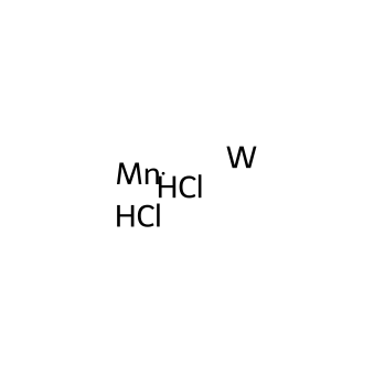 Cl.Cl.[Mn].[W]